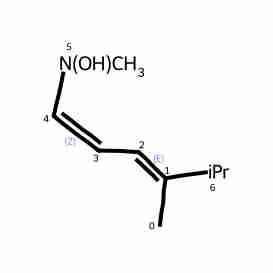 C/C(=C\C=C/N(C)O)C(C)C